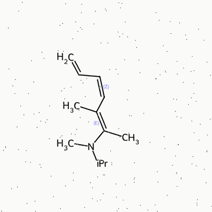 C=C/C=C\C(C)=C(/C)N(C)C(C)C